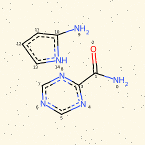 NC(=O)c1ncncn1.Nc1ccc[nH]1